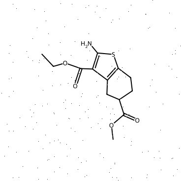 CCOC(=O)c1c(N)sc2c1CC(C(=O)OC)CC2